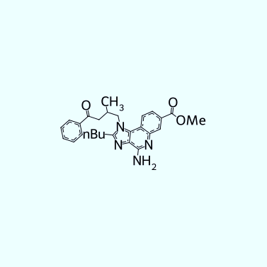 CCCCc1nc2c(N)nc3cc(C(=O)OC)ccc3c2n1CC(C)CC(=O)c1ccccc1